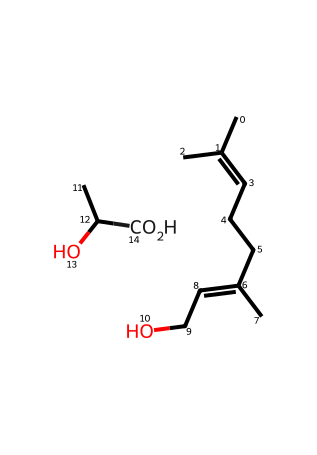 CC(C)=CCCC(C)=CCO.CC(O)C(=O)O